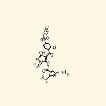 Cc1nn(C)c(OC(=O)c2cn(C)nc2C(F)F)c1C(=O)c1ccc(S(C)(=O)=O)cc1Cl